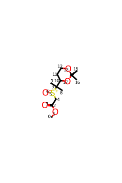 COC(=O)C[S+]([O-])C(C)(C)C1CCOC(C)(C)O1